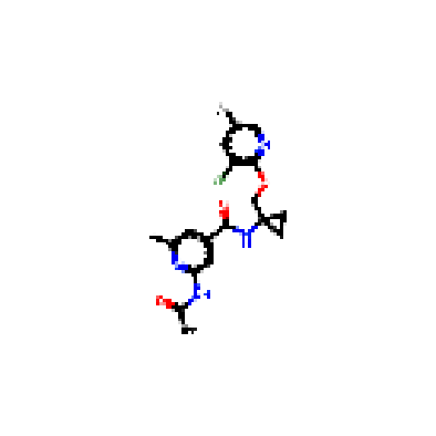 Cc1cc(C(=O)NC2(COc3ncc(C(F)(F)F)cc3Cl)CC2)cc(NC(=O)C(C)C)n1